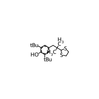 CC(C)(C)c1cc(CC(C)(C)C2SCCS2)cc(C(C)(C)C)c1O